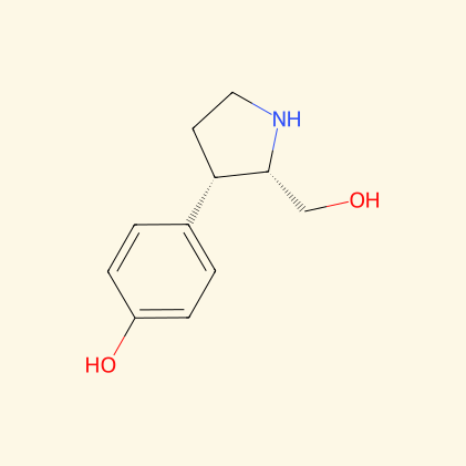 OC[C@H]1NCC[C@H]1c1ccc(O)cc1